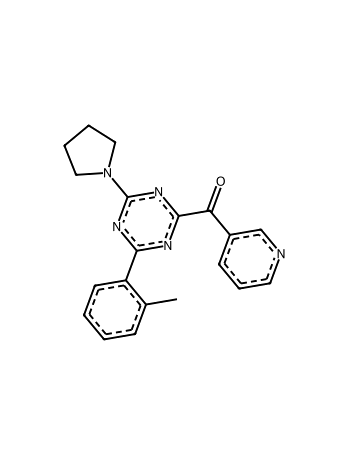 Cc1ccccc1-c1nc(C(=O)c2cccnc2)nc(N2CCCC2)n1